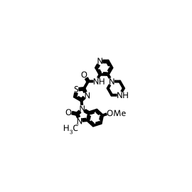 COc1ccc2c(c1)n(-c1csc(C(=O)Nc3cnccc3N3CCNCC3)n1)c(=O)n2C